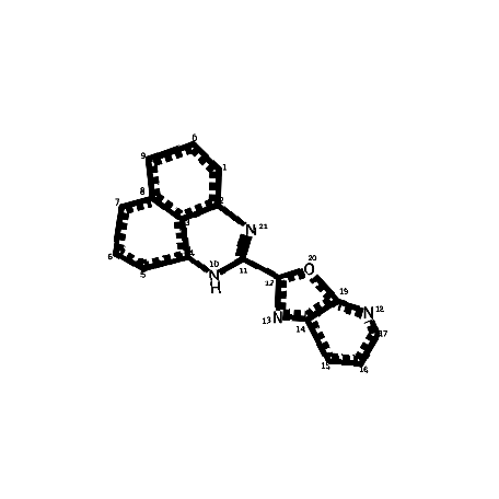 c1cc2c3c(cccc3c1)NC(c1nc3cccnc3o1)=N2